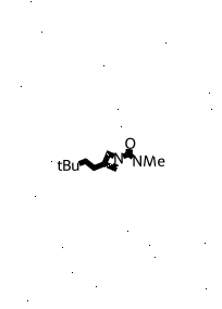 CNC(=O)N1CC(CCC(C)(C)C)C1